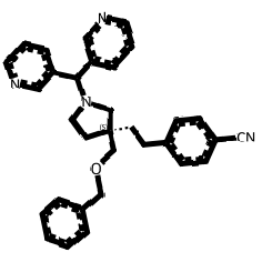 N#Cc1ccc(CC[C@]2(COCc3ccccc3)CCN(C(c3cccnc3)c3cccnc3)C2)cc1